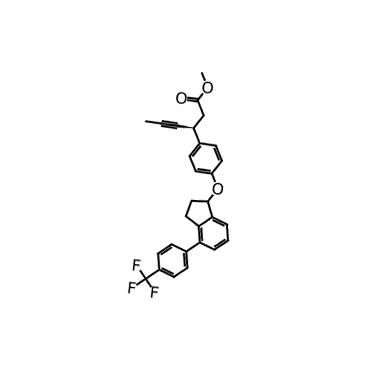 CC#C[C@@H](CC(=O)OC)c1ccc(OC2CCc3c(-c4ccc(C(F)(F)F)cc4)cccc32)cc1